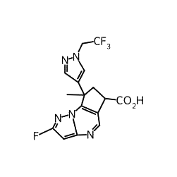 CC1(c2cnn(CC(F)(F)F)c2)CC(C(=O)O)c2cnc3cc(F)nn3c21